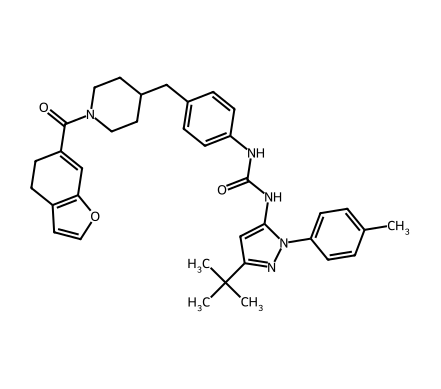 Cc1ccc(-n2nc(C(C)(C)C)cc2NC(=O)Nc2ccc(CC3CCN(C(=O)C4=Cc5occc5CC4)CC3)cc2)cc1